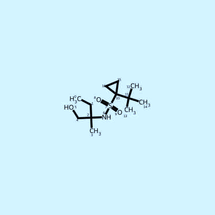 CCC(C)(CO)NS(=O)(=O)C1(C(C)(C)C)CC1